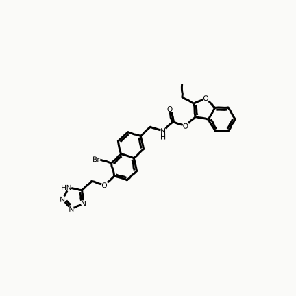 CCc1oc2ccccc2c1OC(=O)NCc1ccc2c(Br)c(OCc3nnn[nH]3)ccc2c1